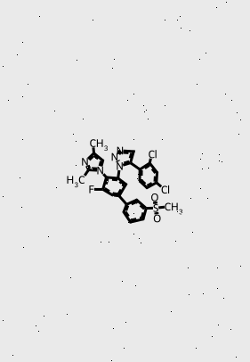 Cc1cn(-c2c(F)cc(-c3cccc(S(C)(=O)=O)c3)cc2-n2nncc2-c2ccc(Cl)cc2Cl)c(C)n1